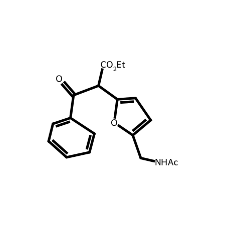 CCOC(=O)C(C(=O)c1ccccc1)c1ccc(CNC(C)=O)o1